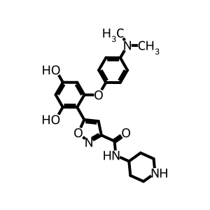 CN(C)c1ccc(Oc2cc(O)cc(O)c2-c2cc(C(=O)NC3CCNCC3)no2)cc1